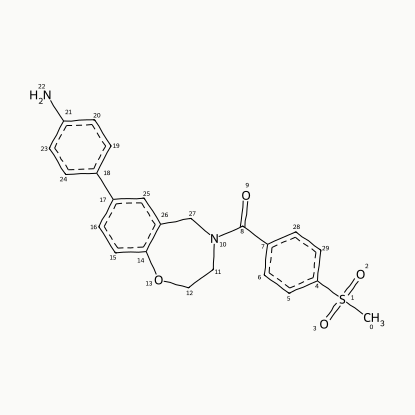 CS(=O)(=O)c1ccc(C(=O)N2CCOc3ccc(-c4ccc(N)cc4)cc3C2)cc1